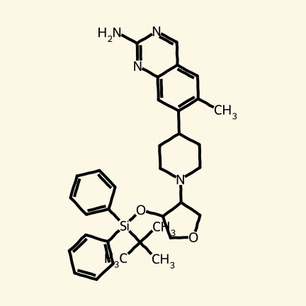 Cc1cc2cnc(N)nc2cc1C1CCN(C2COCC2O[Si](c2ccccc2)(c2ccccc2)C(C)(C)C)CC1